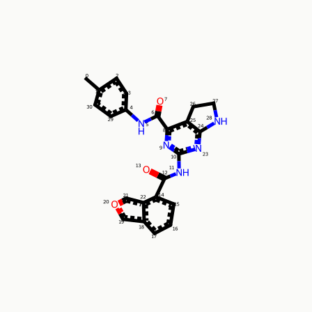 Cc1ccc(NC(=O)c2nc(NC(=O)c3cccc4cocc34)nc3c2CCN3)cc1